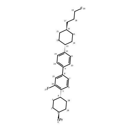 CCC[C@H]1CC[C@H](c2ccc(-c3ccc([C@H]4CC[C@H](CCCF)CC4)cc3)cc2F)CC1